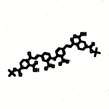 CC(C)(C)OC(=O)N1CCN(C(=O)/C=C/c2ccc(Sc3ccc(/C=C/C(=O)N4CCN(C(=O)OC(C)(C)C)CC4C(=O)O)cc3[N+](=O)[O-])c([N+](=O)[O-])c2)C(C(=O)O)C1